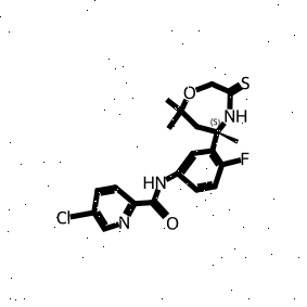 CC1(C)C[C@@](C)(c2cc(NC(=O)c3ccc(Cl)cn3)ccc2F)NC(=S)CO1